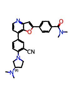 CN(C)C(=O)c1ccc(-c2cc3nccc(-c4ccc(N5CC[C@@H](N(C)C)C5)c(C#N)c4)c3o2)cc1